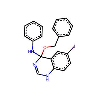 Ic1ccc2c(c1)C(Nc1ccccc1)(OCc1ccccc1)N=CN2